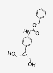 O=C(Nc1ccc([C@H]2[C@H](CO)[C@@H]2CO)cc1)OCc1ccccc1